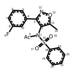 CC(=O)N(c1c(-c2cccc(F)c2)noc1C)S(=O)(=O)c1ccccc1